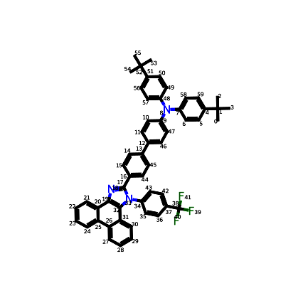 CC(C)(C)c1ccc(N(c2ccc(-c3ccc(-c4nc5c6ccccc6c6ccccc6c5n4-c4ccc(C(F)(F)F)cc4)cc3)cc2)c2ccc(C(C)(C)C)cc2)cc1